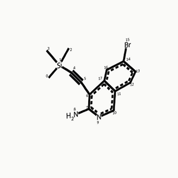 C[Si](C)(C)C#Cc1c(N)ncc2ccc(Br)cc12